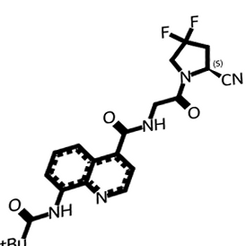 CC(C)(C)C(=O)Nc1cccc2c(C(=O)NCC(=O)N3CC(F)(F)C[C@H]3C#N)ccnc12